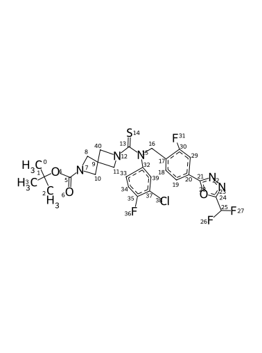 CC(C)(C)OC(=O)N1CC2(C1)CN(C(=S)N(Cc1ccc(-c3nnc(C(F)F)o3)cc1F)c1ccc(F)c(Cl)c1)C2